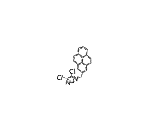 Clc1ncn(Cc2cc3ccc4cccc5ccc(c2)c3c45)c1Cl